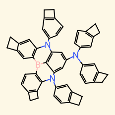 c1cc2c(cc1N(c1ccc3c(c1)CC3)c1cc3c4c(c1)N(c1ccc5c(c1)CC5)c1c(ccc5c1CC5)B4c1cc4c(cc1N3c1ccc3c(c1)CC3)CC4)CC2